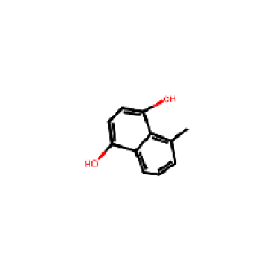 Cc1cccc2c(O)ccc(O)c12